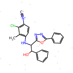 [C-]#[N+]c1ccc(NC(c2nnc(-c3ccccc3)o2)C(O)c2ccccc2)c(C)c1Cl